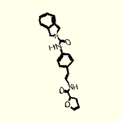 O=C(NCCc1ccc(NC(=O)N2Cc3ccccc3C2)cc1)C1CCCO1